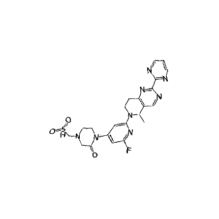 CC1c2cnc(-c3ncccn3)nc2CCN1c1cc(N2CCN(C[SH](=O)=O)CC2=O)cc(F)n1